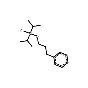 CC(C)[Si](Cl)(OCCCc1ccccc1)C(C)C